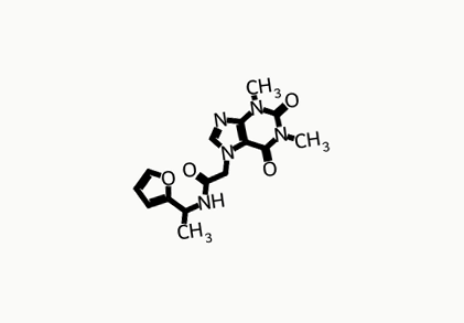 CC(NC(=O)Cn1cnc2c1c(=O)n(C)c(=O)n2C)c1ccco1